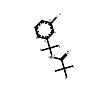 CC(C)(C)C(=O)NC(C)(C)c1cccc(F)c1